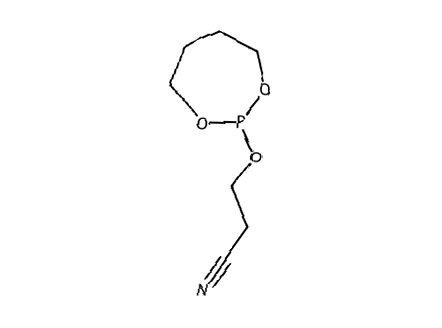 N#CCCOP1OCCCCO1